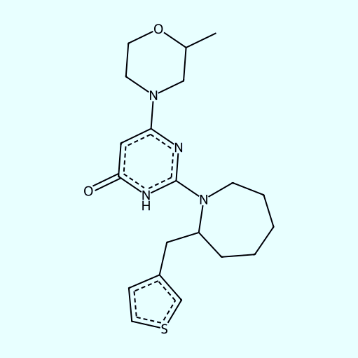 CC1CN(c2cc(=O)[nH]c(N3CCCCCC3Cc3ccsc3)n2)CCO1